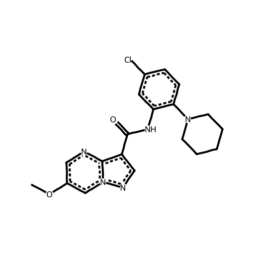 COc1cnc2c(C(=O)Nc3cc(Cl)ccc3N3CCCCC3)cnn2c1